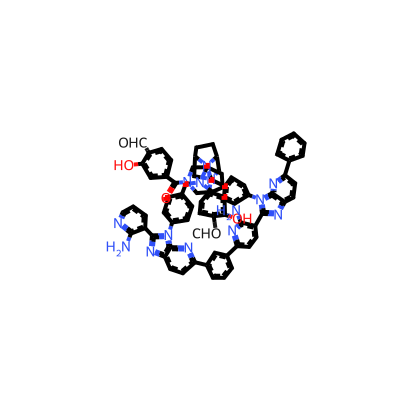 Nc1ncccc1-c1nc2ccc(-c3cccc(-c4ccc(-c5nc6ccc(-c7ccccc7)nc6n5-c5ccc(CN6C7CCC6CN(c6ccc(C=O)c(O)c6)C7)cc5)c(N)n4)c3)nc2n1-c1ccc(CN2C3CCC2CN(C(=O)c2ccc(C=O)c(O)c2)C3)cc1